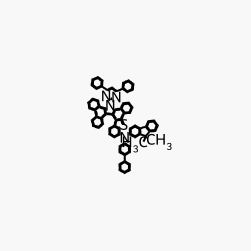 CC1(C)c2ccccc2-c2ccc(N(c3ccc(-c4ccccc4)cc3)c3cccc4c3sc3c5ccccc5c5c(c43)c3c4ccccc4c4ccccc4c3n5-c3nc(-c4ccccc4)cc(-c4ccccc4)n3)cc21